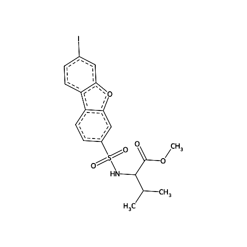 COC(=O)C(NS(=O)(=O)c1ccc2c(c1)oc1cc(I)ccc12)C(C)C